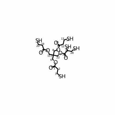 O=C(CCS)OCC(COC(=O)CCS)(COC(=O)CCS)COC(=O)C(S)CS